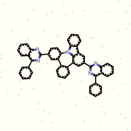 c1ccc(-c2nc(-c3ccc4c(c3)-c3ccccc3-c3cc(-c5nc(-c6ccccc6)c6ccccc6n5)cc5c6ccccc6n-4c35)nc3ccccc23)cc1